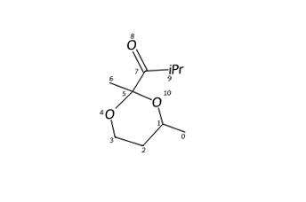 CC1CCOC(C)(C(=O)C(C)C)O1